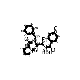 CCCCN(C(=O)c1ccc(Cl)cc1)C(CC)c1nn2cccc2c(=O)n1Cc1ccccc1